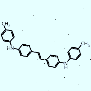 Cc1ccc(Nc2ccc(C=Cc3ccc(Nc4ccc(C)cc4)cc3)cc2)cc1